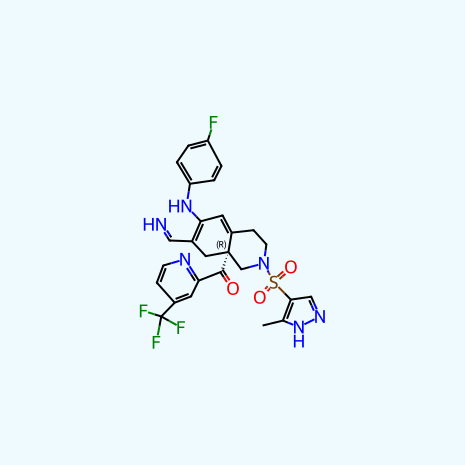 Cc1[nH]ncc1S(=O)(=O)N1CCC2=CC(Nc3ccc(F)cc3)=C(C=N)C[C@]2(C(=O)c2cc(C(F)(F)F)ccn2)C1